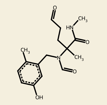 CNC(=O)C(C)(CCC=O)N(C=O)Cc1cc(O)ccc1C